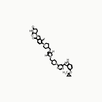 CC1(Oc2ccc3[nH]nc(-c4cc(N5CCC(CN6C[C@@H]7C[C@H]6CN7CC6CCN(c7ccc8c(c7F)CN(C7CCC(=O)NC7=O)C8=O)CC6)CC5)ncn4)c3c2)CC1